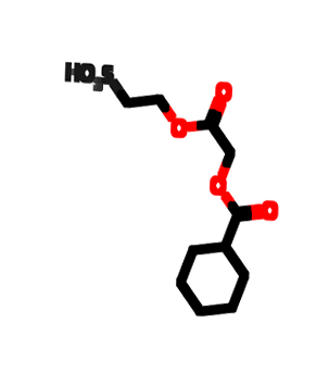 O=C(COC(=O)C1CCCCC1)OCCS(=O)(=O)O